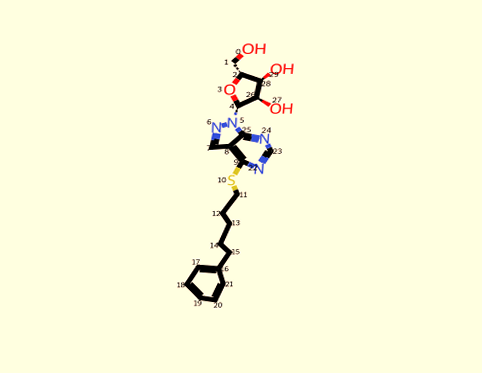 OC[C@H]1O[C@@H](n2ncc3c(SCCCCCc4ccccc4)ncnc32)[C@H](O)[C@@H]1O